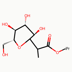 CC(C)OC(=O)C(C)C1O[C@H](CO)[C@@H](O)[C@H](O)[C@H]1O